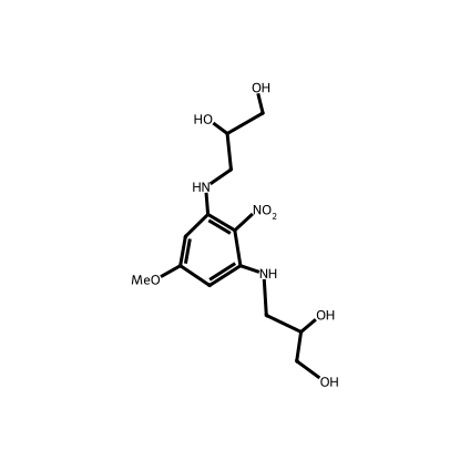 COc1cc(NCC(O)CO)c([N+](=O)[O-])c(NCC(O)CO)c1